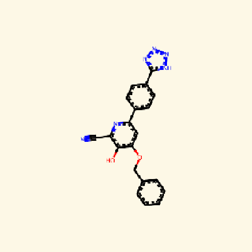 N#Cc1nc(-c2ccc(-c3nnn[nH]3)cc2)cc(OCc2ccccc2)c1O